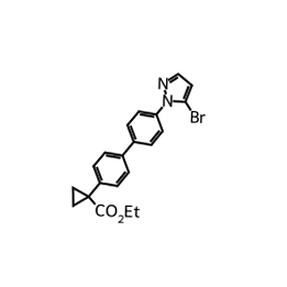 CCOC(=O)C1(c2ccc(-c3ccc(-n4nccc4Br)cc3)cc2)CC1